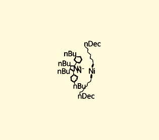 CCCCC1=C(c2ccc(CCCC)cc2)[N+](=[N-])C(c2cccc(CCCC)c2)=C1CCCC.CCCCCCCCCCCCCCCCC#[C][Ni][C]#CCCCCCCCCCCCCCCCC